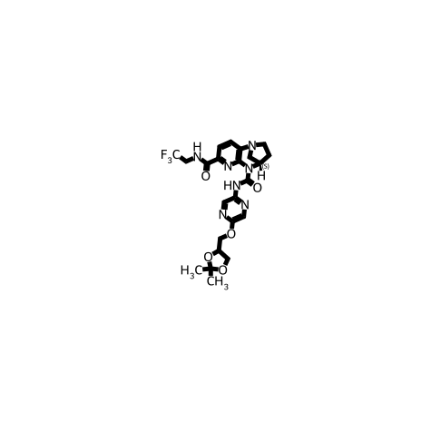 CC1(C)OCC(COc2cnc(NC(=O)N3c4nc(C(=O)NCC(F)(F)F)ccc4N4CC[C@H]3C4)cn2)O1